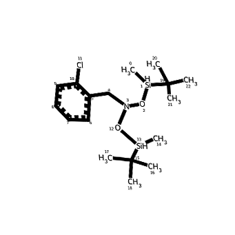 C[SiH](ON(Cc1ccccc1Cl)O[SiH](C)C(C)(C)C)C(C)(C)C